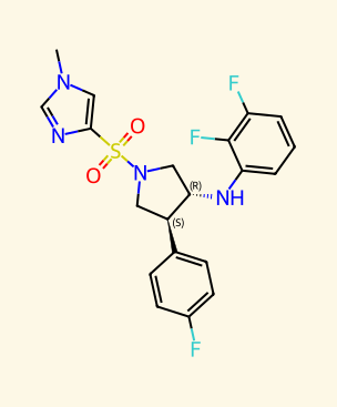 Cn1cnc(S(=O)(=O)N2C[C@H](Nc3cccc(F)c3F)[C@@H](c3ccc(F)cc3)C2)c1